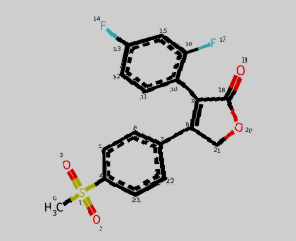 CS(=O)(=O)c1ccc(C2=C(c3ccc(F)cc3F)C(=O)OC2)cc1